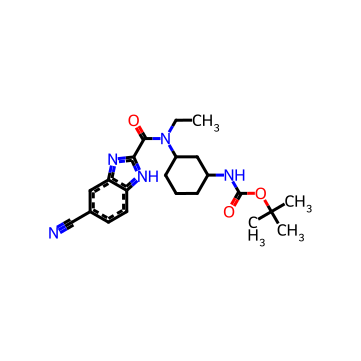 CCN(C(=O)c1nc2cc(C#N)ccc2[nH]1)C1CCCC(NC(=O)OC(C)(C)C)C1